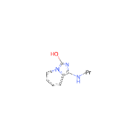 CC(C)Nc1nc(O)n2ccccc12